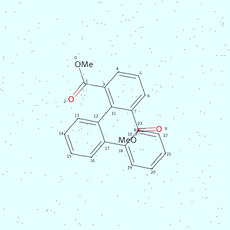 COC(=O)c1cccc(C(=O)OC)c1-c1ccccc1-c1ccccc1